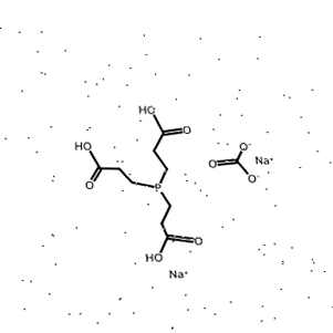 O=C(O)CCP(CCC(=O)O)CCC(=O)O.O=C([O-])[O-].[Na+].[Na+]